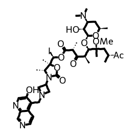 CO[C@](C)(C[C@@H](C)C(C)=O)[C@H](O[C@@H]1O[C@H](C)C[C@H](N(C)C)[C@H]1O)[C@@H](C)C(=O)[C@@H](C)C(=O)O[C@H](I)[C@@]1(C)OC(=O)N(C2CN(Cc3c(O)cnc4cnccc34)C2)[C@@H]1C